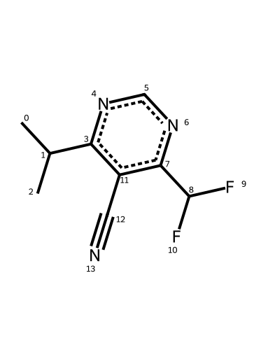 CC(C)c1ncnc(C(F)F)c1C#N